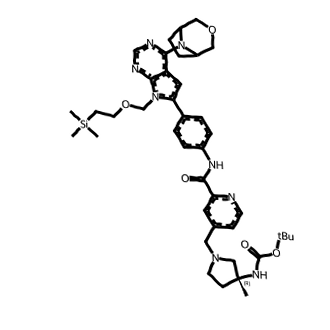 CC(C)(C)OC(=O)N[C@]1(C)CCN(Cc2ccnc(C(=O)Nc3ccc(-c4cc5c(N6C7CCC6COC7)ncnc5n4COCC[Si](C)(C)C)cc3)c2)C1